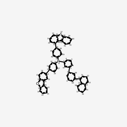 c1cc(-c2cccc(N(c3ccc(-c4ccc5oc6ccccc6c5c4)cc3)c3ccc(-c4cccc5sc6ccccc6c45)cc3)c2)cc(-c2cccc3ccccc23)c1